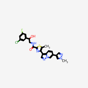 Cc1sc(C(=O)NCC(O)c2cc(F)cc(Cl)c2)nc1-c1cnn2cc(-c3cnn(C)c3)ccc12